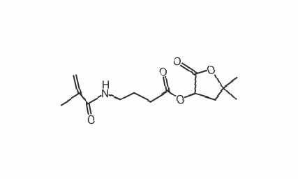 C=C(C)C(=O)NCCCC(=O)OC1CC(C)(C)OC1=O